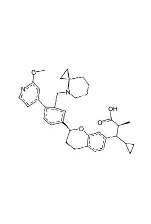 COc1cc(-c2ccc([C@@H]3CCc4ccc(C(C5CC5)[C@H](C)C(=O)O)cc4O3)cc2CN2CCCCC23CC3)ccn1